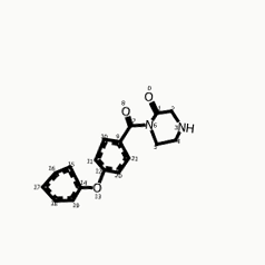 O=C1CNCCN1C(=O)c1ccc(Oc2ccccc2)cc1